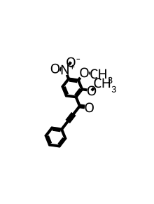 COc1c(C(=O)C#Cc2ccccc2)ccc([N+](=O)[O-])c1OC